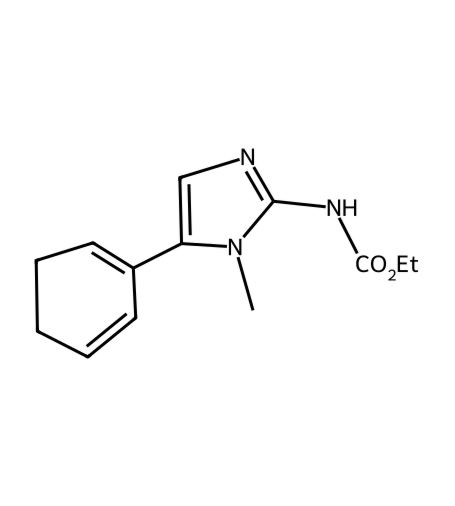 CCOC(=O)Nc1ncc(C2=CCCC=C2)n1C